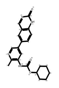 Cc1ncc(-c2ccc3[nH]c(=O)ncc3c2)cc1NC(=O)OC1CCCCC1